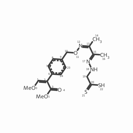 COC=C(C(=O)OC)c1ccc(CON=C(C)C(C)=NNCC(=S)S)cc1